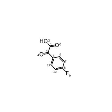 O=C(O)C(=O)c1ccc(F)cc1